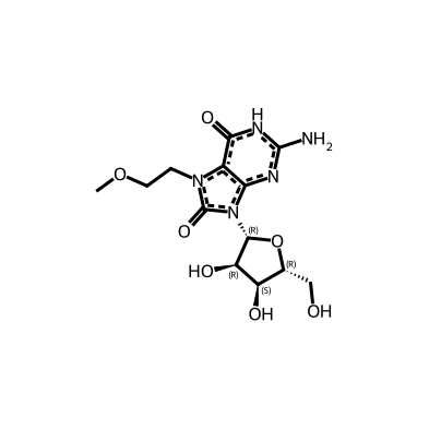 COCCn1c(=O)n([C@@H]2O[C@H](CO)[C@@H](O)[C@H]2O)c2nc(N)[nH]c(=O)c21